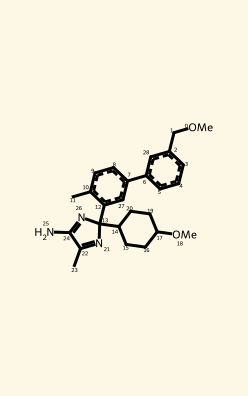 COCc1cccc(-c2ccc(C)c(C3(C4CCC(OC)CC4)N=C(C)C(N)=N3)c2)c1